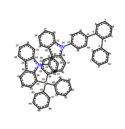 c1ccc(-c2ccccc2-c2ccc(-n3c4ccccc4c4c(-n5c6ccccc6c6cccc([Si](c7ccccc7)(c7ccccc7)c7ccccc7)c65)cccc43)cc2)cc1